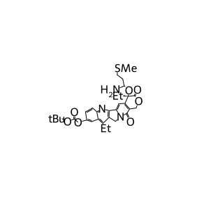 CCc1c2c(nc3ccc(OC(=O)OC(C)(C)C)cc13)-c1cc3c(c(=O)n1C2)COC(=O)[C@@]3(CC)OC(N)CCSC